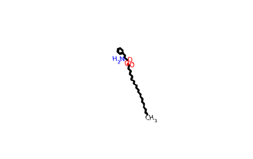 CCCCCCCCCCCCCCCCCCCCCC(=O)OC(=O)C(N)Cc1ccccc1